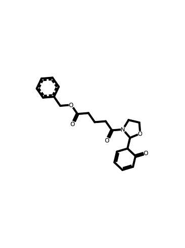 O=C(CCCC(=O)N1CCOC1C1C=CC=CC1=O)OCc1ccccc1